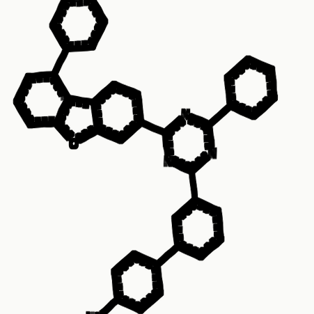 N#Cc1ccc(-c2cccc(-c3nc(-c4ccccc4)nc(-c4ccc5c(c4)oc4cccc(-c6ccccc6)c45)n3)c2)cc1